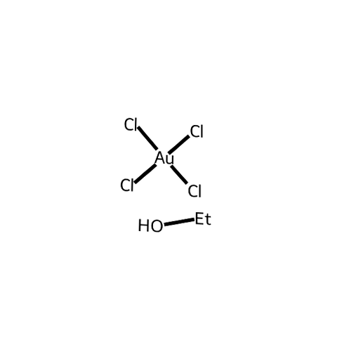 CCO.[Cl][Au]([Cl])([Cl])[Cl]